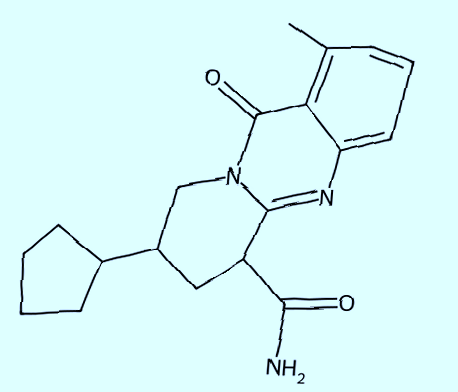 Cc1cccc2nc3n(c(=O)c12)CC(C1CCCC1)CC3C(N)=O